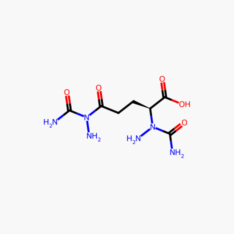 NC(=O)N(N)C(=O)CC[C@@H](C(=O)O)N(N)C(N)=O